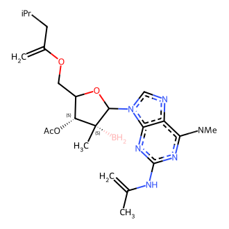 B[C@@]1(C)C(n2cnc3c(NC)nc(NC(=C)C)nc32)OC(COC(=C)CC(C)C)[C@H]1OC(C)=O